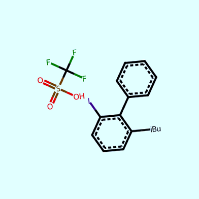 CCC(C)c1cccc(I)c1-c1ccccc1.O=S(=O)(O)C(F)(F)F